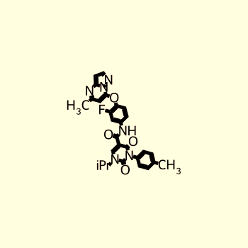 Cc1ccc(-n2c(=O)c(C(=O)Nc3ccc(Oc4cc(C)nc5ccnn45)c(F)c3)cn(C(C)C)c2=O)cc1